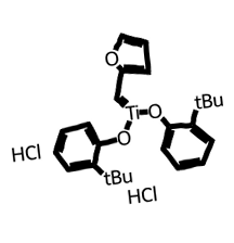 CC(C)(C)c1ccccc1[O][Ti](=[CH]c1ccco1)[O]c1ccccc1C(C)(C)C.Cl.Cl